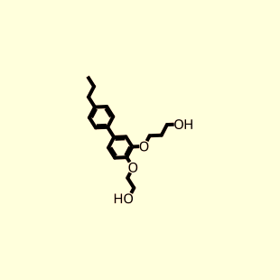 CCCc1ccc(-c2ccc(OCCO)c(OCCCO)c2)cc1